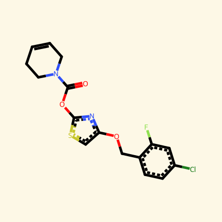 O=C(Oc1nc(OCc2ccc(Cl)cc2F)cs1)N1CC=CCC1